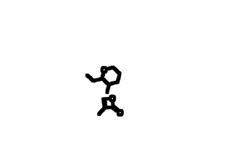 CC1=COC1=O.CCC1OCCCC1C